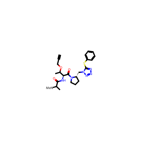 C#CCOC(C)[C@H](NC(=O)C(C)NC)C(=O)N1CCC[C@H]1Cn1nnnc1Sc1ccccc1